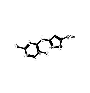 COc1cc(Nc2nc(Cl)ncc2Br)n[nH]1